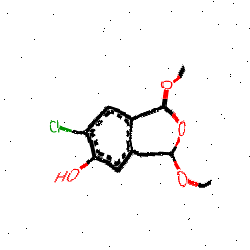 COC1OC(OC)c2cc(Cl)c(O)cc21